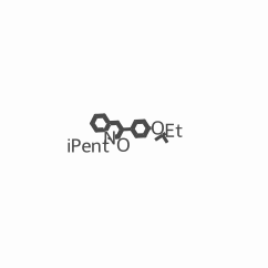 CCCC(C)n1c(=O)c(-c2ccc(OC(C)(C)CC)cc2)cc2ccccc21